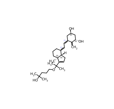 C=C1/C(=C\C=C2/CCC[C@]3(C)C(C(C)(C)OCCCC(C)(C)O)=CC[C@@H]23)C[C@@H](O)C[C@@H]1O